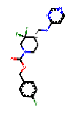 O=C(OCc1ccc(F)cc1)N1CC[C@@H](CNc2ccncn2)C(F)(F)C1